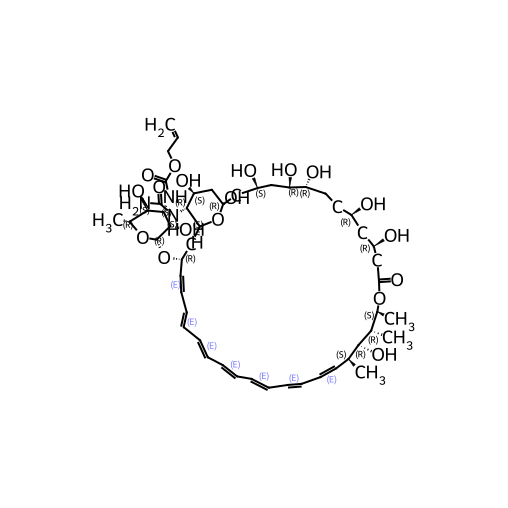 C=CCOC(=O)N[C@@H]1[C@H](O)[C@H](O[C@H]2/C=C/C=C/C=C/C=C/C=C/C=C/C=C/[C@H](C)[C@@H](O)[C@@H](C)[C@H](C)OC(=O)C[C@H](O)C[C@H](O)CC[C@@H](O)[C@H](O)C[C@H](O)C[C@]3(O)C[C@H](O)[C@@H](NC(N)=O)[C@H](C2)O3)O[C@H](C)[C@H]1O